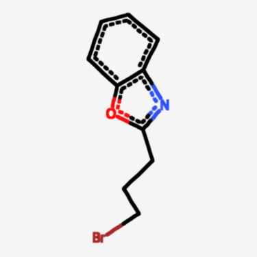 BrCCCc1nc2ccccc2o1